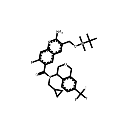 CC(C)(C)[Si](C)(C)OCc1cc2cc(C(=O)N(CC3CC3)C3COCc4cc(C(F)(F)F)ccc43)c(F)cc2nc1N